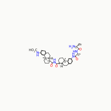 CC(C)[C@H](N)C(=O)N[C@@H](C)C(=O)Nc1ccc2c(c1)[C@@]1(C)CCC[C@](C)(C(=O)NC(=O)[C@@]3(C)CCC[C@]4(C)c5cc(NC(=O)O)ccc5CC[C@@H]34)[C@@H]1CC2